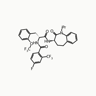 CC(C)N1C(=O)[C@H](NC(=O)[C@@H](Cc2ccccc2OC(F)(F)F)NC(=O)c2ccc(F)cc2C(F)(F)F)CCc2ccccc21